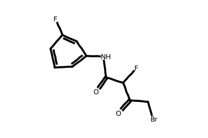 O=C(CBr)C(F)C(=O)Nc1cccc(F)c1